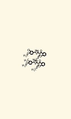 CCCCN(C(=O)c1ccccc1Cl)c1nnc(-c2ccc(OC)c(C)c2)s1.CCCCN(C(=O)c1ccccc1Cl)c1nnc(-c2ccc(OC)c(Cl)c2)s1